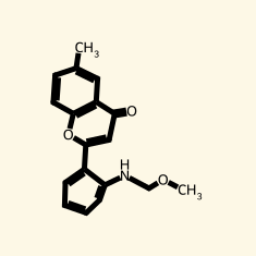 COCNc1ccccc1-c1cc(=O)c2cc(C)ccc2o1